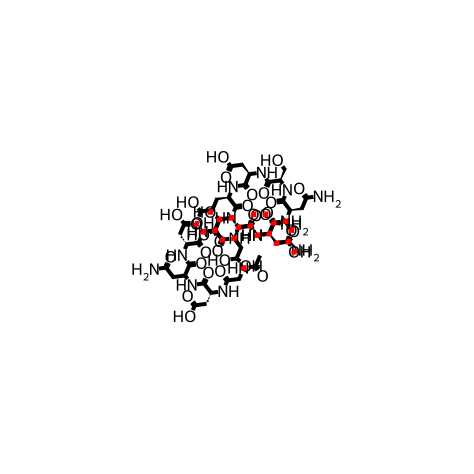 CC(=O)NCC(=O)N[C@H](CC(=O)O)C(=O)NC(CC(N)=O)C(=O)N[C@H](CC(=O)O)C(=O)NC(CO)C(=O)N[C@H](CCC(=O)O)C(=O)N[C@H](CC(=O)O)C(=O)N[C@H](CC(N)=O)C(=O)N[C@H](CO)C(=O)N[C@H](CC(=O)O)C(=O)N[C@H](CCC(O)O)C(=O)N[C@H](CCC(O)O)C(=O)N[C@H](CC(N)=O)C(N)=O